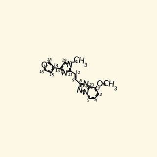 COc1cccn2nc(C=Cc3nc(-c4ccoc4)cn3C)nc12